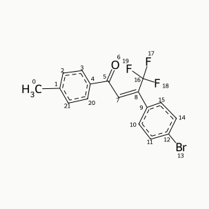 Cc1ccc(C(=O)C=C(c2ccc(Br)cc2)C(F)(F)F)cc1